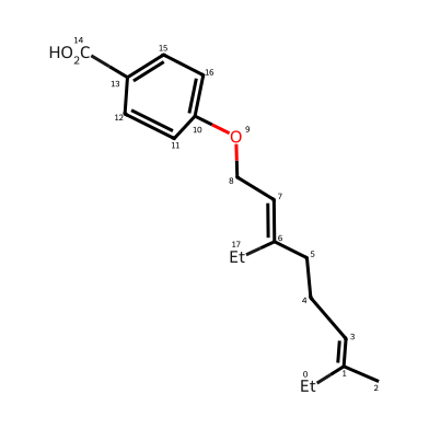 CC/C(C)=C\CC/C(=C/COc1ccc(C(=O)O)cc1)CC